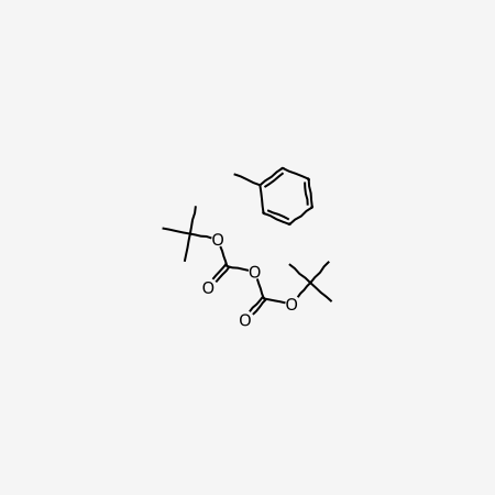 CC(C)(C)OC(=O)OC(=O)OC(C)(C)C.Cc1ccccc1